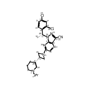 CC(C)N1CCC[C@H](C2CN(c3cnc4c(C#N)nn([C@H](C)c5ccc(Cl)cc5Cl)c4n3)C2)C1